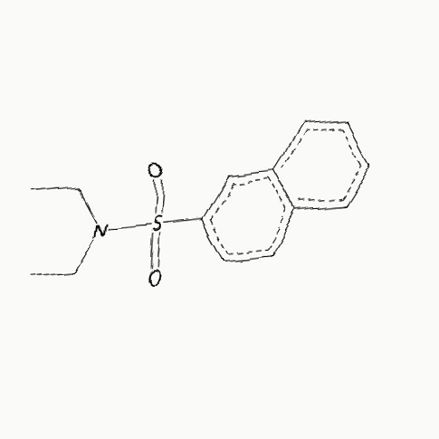 CCN(CC)S(=O)(=O)c1ccc2ccccc2c1